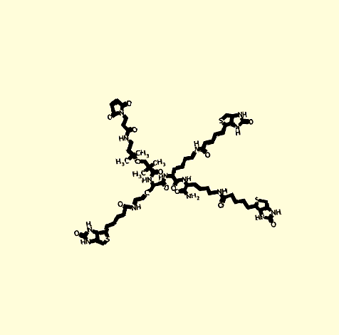 CC(C)(CCNC(=O)CCN1C(=O)C=CC1=O)OCC(C)(C)C(=O)NC(CCCCNC(=O)CCCCC1SCC2NC(=O)NC21)C(=O)NC(CCCCNC(=O)CCCCC1SCC2NC(=O)NC21)C(=O)NC(CCCCNC(=O)CCCCC1SCC2NC(=O)NC21)C(N)=O